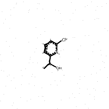 CC(O)c1cccc(Cl)n1